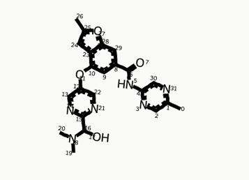 Cc1cnc(NC(=O)c2cc(Oc3cnc(C(O)N(C)C)nc3)c3cc(C)oc3c2)cn1